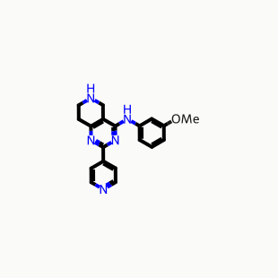 COc1cccc(Nc2nc(-c3ccncc3)nc3c2CNCC3)c1